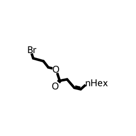 CCCCCC/C=C\CC(=O)OCCCBr